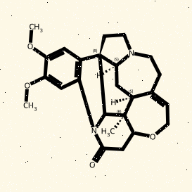 COc1cc2c(cc1OC)[C@@]13CCN4CCC5=CCOC6CC(=O)N2C1[C@@]6(C)[C@H]5C[C@H]43